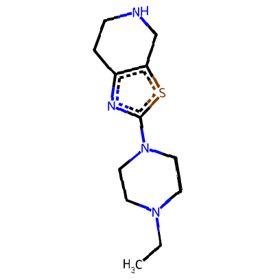 CCN1CCN(c2nc3c(s2)CNCC3)CC1